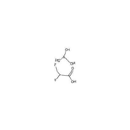 O=C(O)C(F)F.OB(O)O